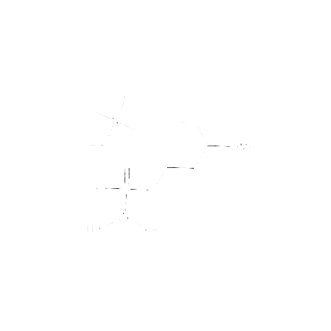 COC(C)CCOP(=O)([O-])N(C)C.C[N+](C)(C)C